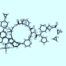 CO[C@@H](C)C1=C(c2c3c4cc(ccc4n2CC(F)(F)F)N2CCO[C@@H](C[C@H](NC(=O)[C@H](C4CCCC4)N4CCOC5(CN(C(=O)[C@@H]6N[C@@H]6C6CC6)C5)C4)C(=O)N4CCC[C@H](N4)C(=O)OCC(C)(C)C3)C2)CC(N2CCN(C3CC3)CC2)C=N1